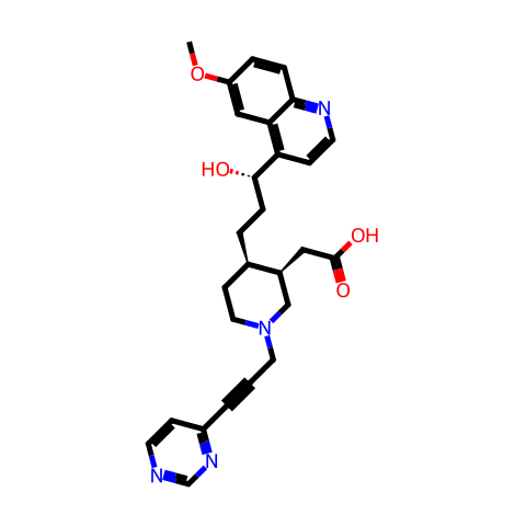 COc1ccc2nccc([C@@H](O)CC[C@@H]3CCN(CC#Cc4ccncn4)C[C@@H]3CC(=O)O)c2c1